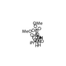 COc1ccc(C(OC[C@@H]2O[C@@H](n3cnc4c(=O)[nH]c(NC(=O)C(C)C)nc43)C[C@@H]2c2ccccc2C(=O)O)(c2ccccc2)c2ccc(OC)cc2)cc1